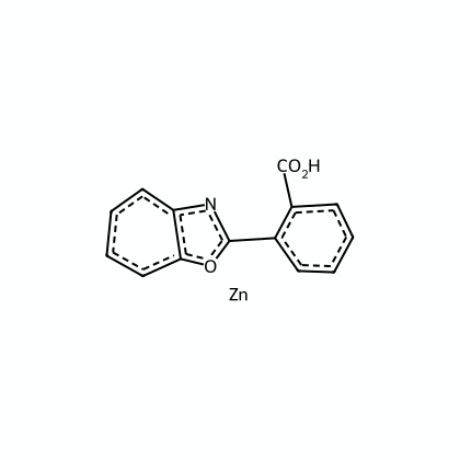 O=C(O)c1ccccc1-c1nc2ccccc2o1.[Zn]